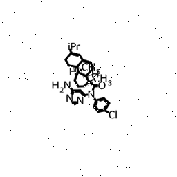 CC(C)C1=CC2=CC[C@@H]3[C@](C)(CCC[C@@]3(C)C(=O)N(c3ccc(Cl)cc3)c3cc(N)ncn3)[C@H]2CC1